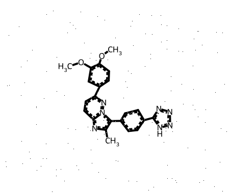 COc1ccc(-c2ccc3nc(C)c(-c4ccc(-c5nnn[nH]5)cc4)n3n2)cc1OC